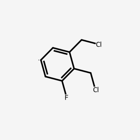 Fc1c[c]cc(CCl)c1CCl